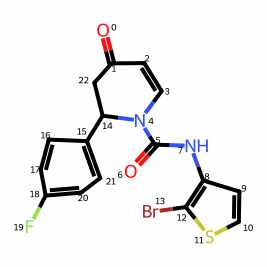 O=C1C=CN(C(=O)Nc2ccsc2Br)C(c2ccc(F)cc2)C1